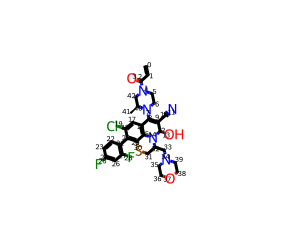 C=CC(=O)N1CCN(C2=C(C#N)C(O)N3c4c2cc(Cl)c(-c2ccc(F)cc2F)c4SCC3CN2CCOCC2)[C@@H](C)C1